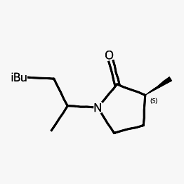 CCC(C)CC(C)N1CC[C@H](C)C1=O